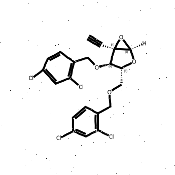 C#C[C@]12O[C@H]1O[C@H](COCc1ccc(Cl)cc1Cl)[C@H]2OCc1ccc(Cl)cc1Cl